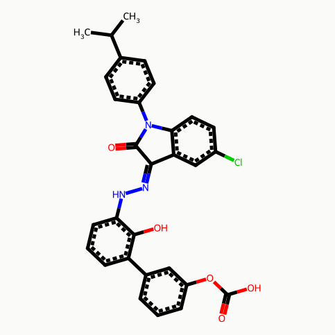 CC(C)c1ccc(N2C(=O)C(=NNc3cccc(-c4cccc(OC(=O)O)c4)c3O)c3cc(Cl)ccc32)cc1